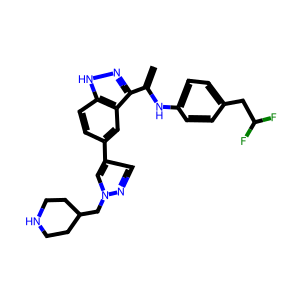 C=C(Nc1ccc(CC(F)F)cc1)c1n[nH]c2ccc(-c3cnn(CC4CCNCC4)c3)cc12